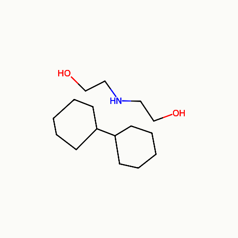 C1CCC(C2CCCCC2)CC1.OCCNCCO